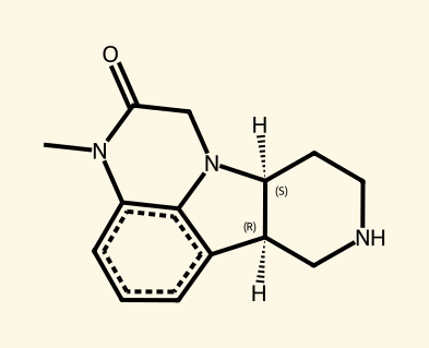 CN1C(=O)CN2c3c(cccc31)[C@@H]1CNCC[C@@H]12